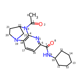 CC(=O)N1c2nc(C(=O)NC3CCCCC3)ccc2N2CCC1C2